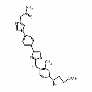 CCN(CCOC)C1C=CC(Nc2nc(-c3ccc(-n4cnc(CC(N)=S)c4)cc3)cs2)=C(C)C1